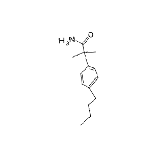 CCCCc1ccc(C(C)(C)C(N)=O)cc1